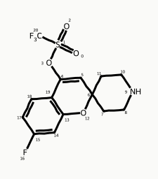 O=S(=O)(OC1=CC2(CCNCC2)Oc2cc(F)ccc21)C(F)(F)F